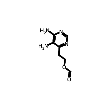 Nc1ncnc(CCOC=O)c1N